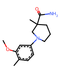 COc1cc(N2CCCC(C)(C(N)=O)C2)ccc1C